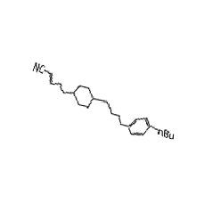 CCCCc1ccc(CCCCC2CCC(CCC=CC#N)CC2)cc1